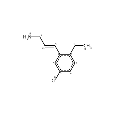 CCc1ccc(Cl)cc1/C=C/CN